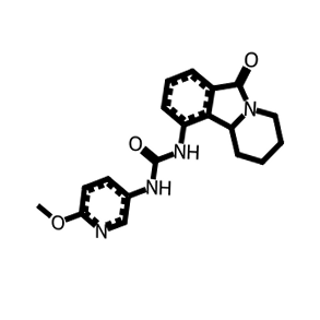 COc1ccc(NC(=O)Nc2cccc3c2C2CCCCN2C3=O)cn1